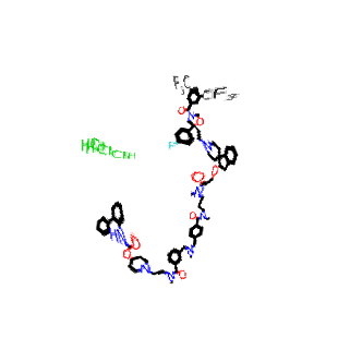 CN(Cc1ccc(C(=O)N(C)CCCN(C)C(=O)CO[C@H]2Cc3ccccc3C23CCN(CC[C@@]2(c4ccc(F)cc4)CN(C(=O)c4cc(C(F)(F)F)cc(C(F)(F)F)c4)CO2)CC3)cc1)Cc1cccc(C(=O)N(C)CCN2CCC(OC(=O)Nc3ccccc3-c3ccccc3)CC2)c1.Cl.Cl.Cl